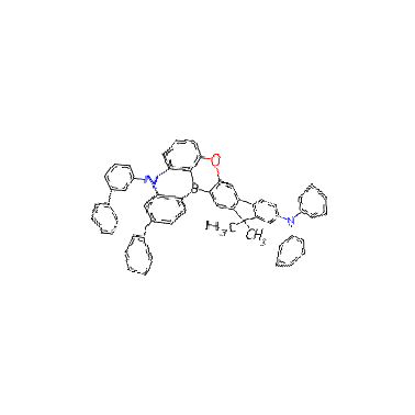 CC1(C)c2cc(N(c3ccccc3)c3ccccc3)ccc2-c2cc3c(cc21)B1c2ccc(-c4ccccc4)cc2N(c2cccc(-c4ccccc4)c2)c2cccc(c21)O3